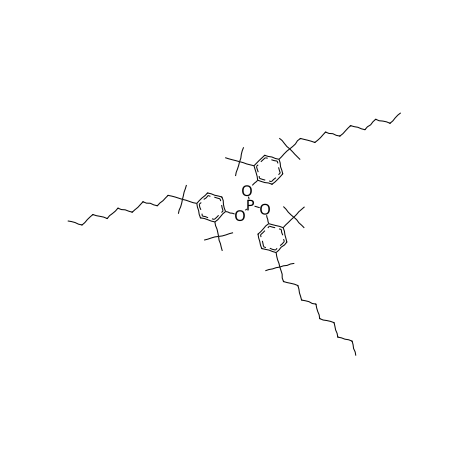 CCCCCCCCCC(C)(C)c1ccc(OP(Oc2ccc(C(C)(C)CCCCCCCCC)cc2C(C)(C)C)Oc2ccc(C(C)(C)CCCCCCCCC)cc2C(C)(C)C)c(C(C)(C)C)c1